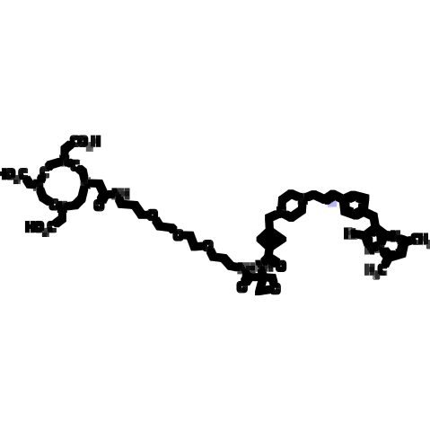 CCc1nn2c(C)cc(C)nc2c1Cc1ccc(/C=C/CN2CCN(CC34CC(C(=O)NC5(C(=O)NCCCOCCOCCOCCCNC(=O)CN6CCN(CC(=O)O)CCN(CC(=O)O)CCN(CC(=O)O)CC6)COC5)(C3)C4)CC2)cc1